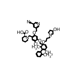 CC1=C(c2ccccc2C)C(C)C(COc2cc(OCc3cncc(C#N)c3)c(CN3CCCC[C@H]3C(=O)O)cc2Cl)(OCCCN2CC[C@@H](O)C2)C=C1